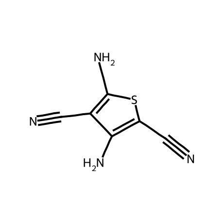 N#Cc1sc(N)c(C#N)c1N